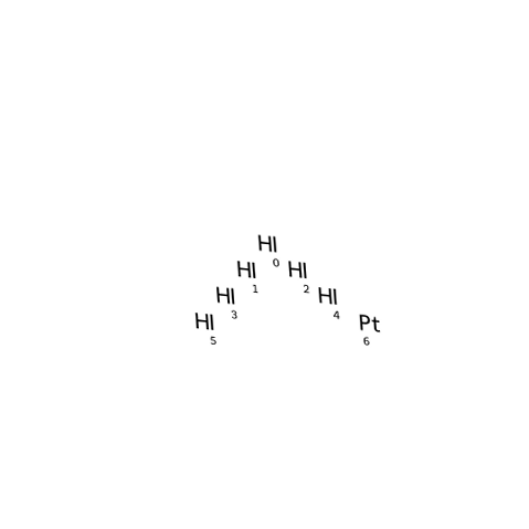 I.I.I.I.I.I.[Pt]